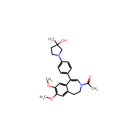 COc1cc2c(cc1OC)C(c1ccc(N3CCC(C)(O)C3)cc1)=CN(C(C)=O)CC2